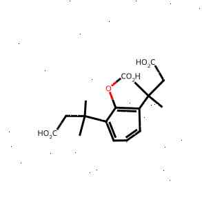 CC(C)(CC(=O)O)c1c[c]cc(C(C)(C)CC(=O)O)c1OC(=O)O